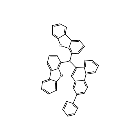 c1ccc(-c2ccc3c(c2)cc(N(c2cccc4c2oc2ccccc24)c2cccc4c2oc2ccccc24)c2ccccc23)cc1